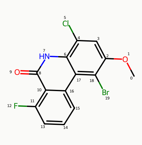 COc1cc(Cl)c2[nH]c(=O)c3c(F)cccc3c2c1Br